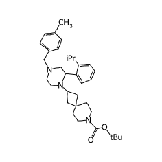 Cc1ccc(CN2CCN(C3CC4(CCN(C(=O)OC(C)(C)C)CC4)C3)C(c3ccccc3C(C)C)C2)cc1